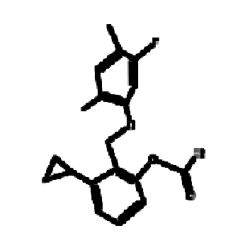 CCC(=O)Oc1cccc(C2CC2)c1COc1cc(F)c(C)cc1C